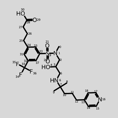 CN(CC(O)CNC(C)(C)CCCc1ccncc1)S(=O)(=O)c1cc(CCCC(=O)O)cc(C(F)(F)F)c1